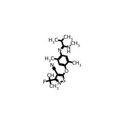 CNC(=Nc1cc(C)c(Oc2snc(C(C)(C)F)c2C#N)cc1C)C(C)C